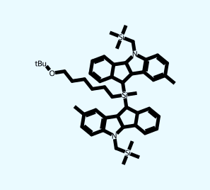 Cc1ccc2c(c1)C1C(C3C=CC=CC3C1[Si](C)(CCCCCCOC(C)(C)C)C1C3C=CC=CC3C3C1c1cc(C)ccc1N3C[Si](C)(C)C)N2C[Si](C)(C)C